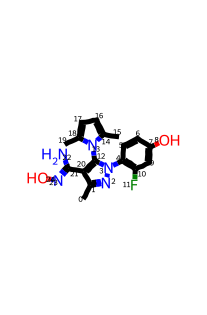 Cc1nn(-c2ccc(O)cc2F)c(-n2c(C)ccc2C)c1/C(N)=N/O